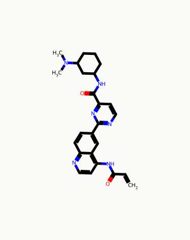 C=CC(=O)Nc1ccnc2ccc(-c3nccc(C(=O)NC4CCCC(N(C)C)C4)n3)cc12